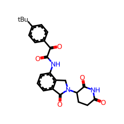 CC(C)(C)c1ccc(C(=O)C(=O)Nc2cccc3c2CN(C2CCC(=O)NC2=O)C3=O)cc1